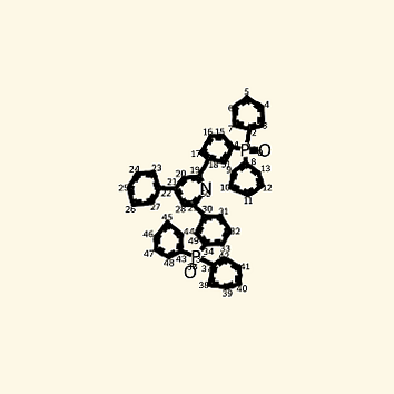 O=P(c1ccccc1)(c1ccccc1)c1cccc(-c2cc(-c3ccccc3)cc(-c3cccc(P(=O)(c4ccccc4)c4ccccc4)c3)n2)c1